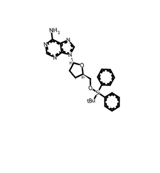 CC(C)(C)[Si](OC[C@H]1[CH]C[C@H](n2cnc3c(N)ncnc32)O1)(c1ccccc1)c1ccccc1